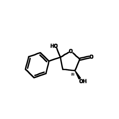 O=C1OC(O)(c2ccccc2)C[C@@H]1O